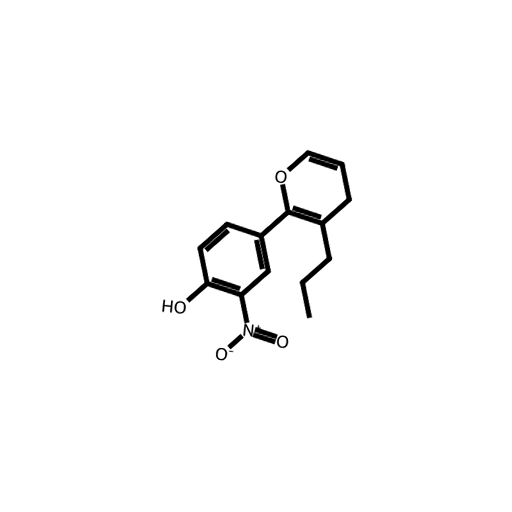 CCCC1=C(c2ccc(O)c([N+](=O)[O-])c2)OC=CC1